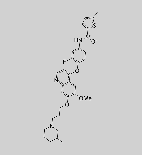 COc1cc2c(Oc3ccc(N[S+]([O-])c4ccc(C)s4)cc3F)ccnc2cc1OCCCN1CCCC(C)C1